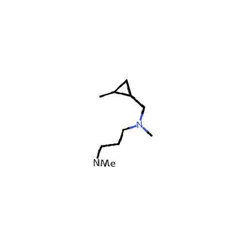 CNCCCN(C)CC1CC1C